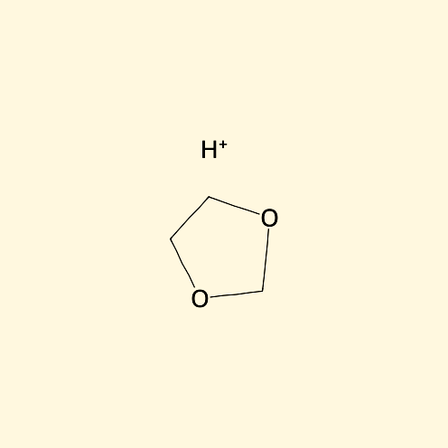 C1COCO1.[H+]